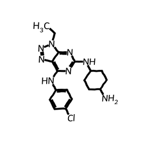 CCn1nnc2c(Nc3ccc(Cl)cc3)nc(NC3CCC(N)CC3)nc21